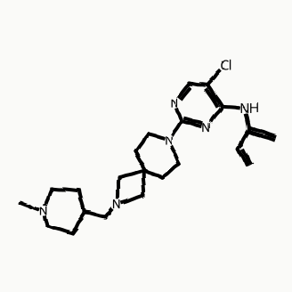 C=CC(=C)Nc1nc(N2CCC3(CC2)CN(CC2CCN(C)CC2)C3)ncc1Cl